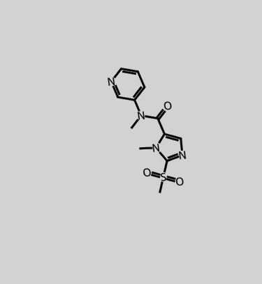 CN(C(=O)c1cnc(S(C)(=O)=O)n1C)c1cccnc1